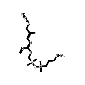 C=N/C(=N\C=C(/C)CN=[N+]=[N-])SC[Si](C)(C)O[Si](C)(C)CCCNC(C)=O